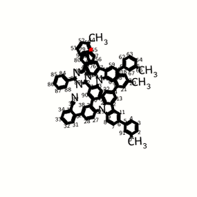 Cc1cccc(-c2ccc3c(c2)c2cc(-c4cccc(C)c4)ccc2n3-c2ccc(-c3ccccc3C#N)cc2-c2ccc(-n3c4ccc(-c5cccc(C)c5)cc4c4cc(-c5cccc(C)c5)ccc43)c(-c3nc(-c4ccccc4)nc(-c4ccccc4)n3)c2)c1